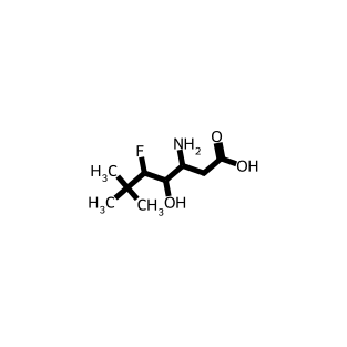 CC(C)(C)C(F)C(O)C(N)CC(=O)O